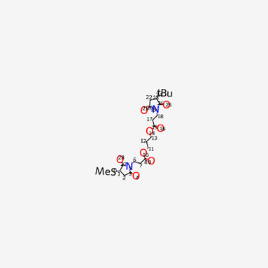 CSC1CC(=O)N(CCC(=O)OCCCOC(=O)CCN2C(=O)CC(C(C)(C)C)C2=O)C1=O